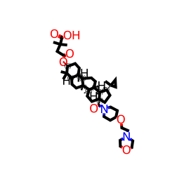 CC(C)(CC(=O)O[C@H]1CC[C@]2(C)[C@H]3CC[C@@H]4[C@H]5[C@H](C6(C)CC6)CC[C@]5(C(=O)N5CCC(OCCN6CCOCC6)CC5)CC[C@@]4(C)[C@]3(C)CC[C@H]2C1(C)C)C(=O)O